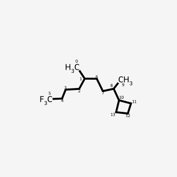 CC(CCCC(F)(F)F)CCC(C)C1CCC1